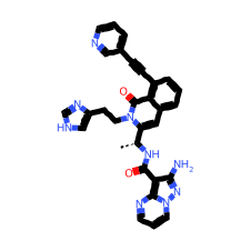 C[C@@H](NC(=O)c1c(N)nn2cccnc12)c1cc2cccc(C#Cc3cccnc3)c2c(=O)n1CCc1c[nH]cn1